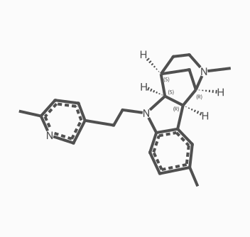 Cc1ccc2c(c1)[C@H]1[C@H]([C@H]3CCN(C)[C@@H]1C3)N2CCc1ccc(C)nc1